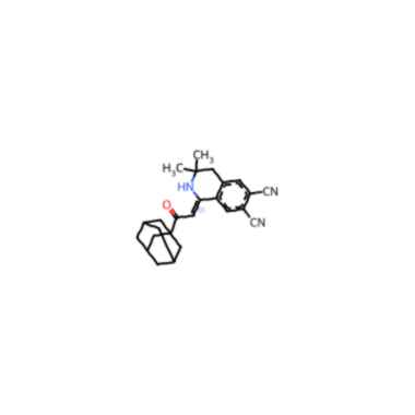 CC1(C)Cc2cc(C#N)c(C#N)cc2/C(=C/C(=O)C23CC4CC(CC(C4)C2)C3)N1